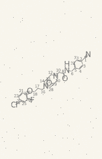 N#Cc1ccc(CNC(=O)CN2CC3CN(CCCOc4ccc(Cl)cc4F)CC(C2)O3)cc1